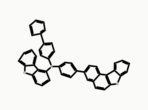 c1ccc(-c2ccc(N(c3ccc(-c4ccc5c(ccc6oc7ccccc7c65)c4)cc3)c3cccc4oc5ccccc5c34)cc2)cc1